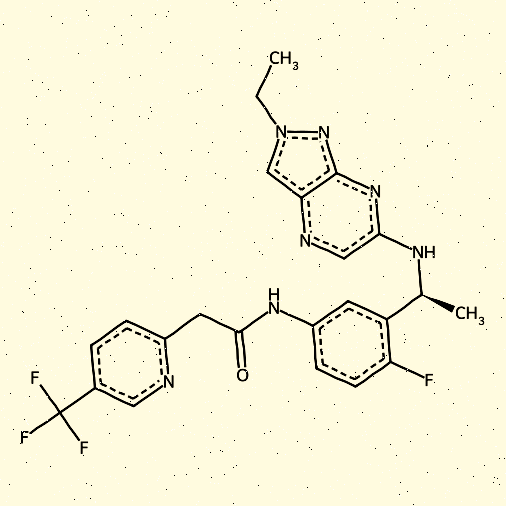 CCn1cc2ncc(N[C@@H](C)c3cc(NC(=O)Cc4ccc(C(F)(F)F)cn4)ccc3F)nc2n1